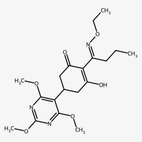 CCCC(=NOCC)C1=C(O)CC(c2c(OC)nc(OC)nc2OC)CC1=O